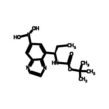 CC[C@@H](NC(=O)OC(C)(C)C)c1cc(B(O)O)cc2nccnc12